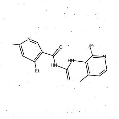 C=C(NC(=O)c1cnc(C)cc1CC)Nc1c(C)ccnc1C(C)C